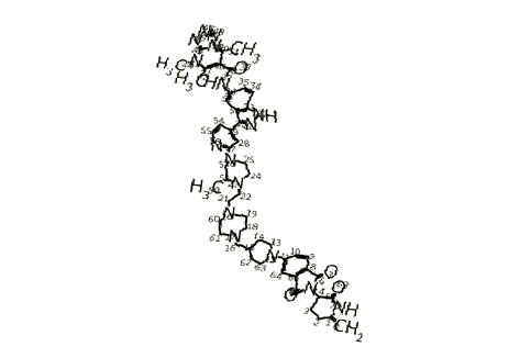 C=C1CCC(N2C(=O)c3ccc(N4CCC(CN5CCN(CCN6CCN(c7cc(-c8n[nH]c9ccc(NC(=O)C%10=C(C)N(C)c%11nnnn%11[C@H]%10C)cc89)ccn7)C[C@@H]6C)CC5)CC4)cc3C2=O)C(=O)N1